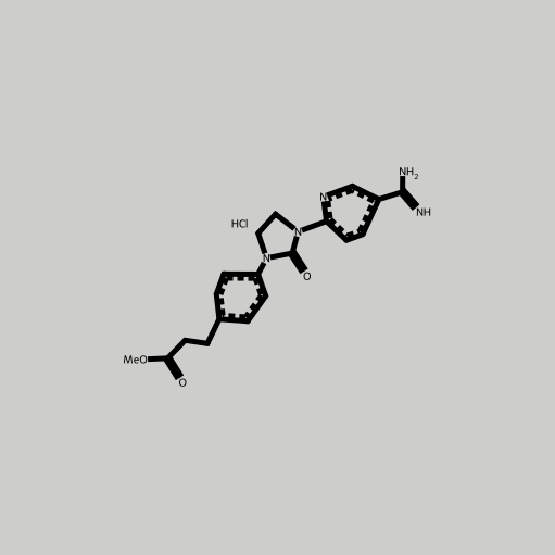 COC(=O)CCc1ccc(N2CCN(c3ccc(C(=N)N)cn3)C2=O)cc1.Cl